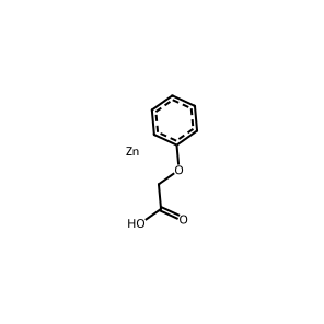 O=C(O)COc1ccccc1.[Zn]